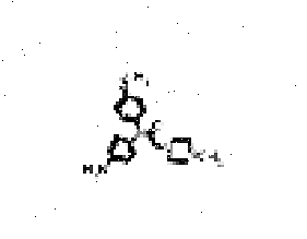 COc1ccc(N(C(=O)CN2CCN(C)CC2)c2ccc(N)cc2)cc1